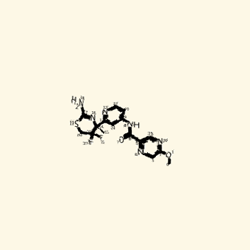 COc1cnc(C(=O)Nc2ccnc([C@@]3(C)N=C(N)SCC3(F)F)c2)cn1